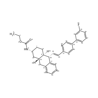 CCOC(=O)N[C@@H]1CC[C@@H]2[C@H](Cc3ncncc3[C@H]2/C=C/c2ccc(-c3cccc(F)c3)cn2)C1